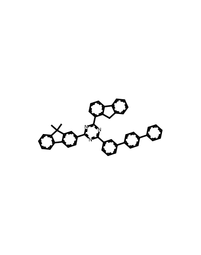 CC1(C)c2ccccc2-c2ccc(-c3nc(-c4cccc(-c5ccc(-c6ccccc6)cc5)c4)nc(-c4cccc5c4Cc4ccccc4-5)n3)cc21